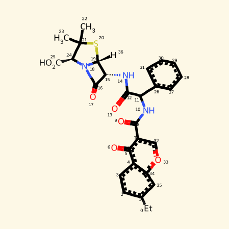 CCc1ccc2c(=O)c(C(=O)NC(C(=O)N[C@@H]3C(=O)N4[C@@H]3SC(C)(C)[C@@H]4C(=O)O)c3ccccc3)coc2c1